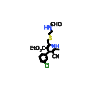 CCOC(=O)C1=C(CSCCNC=O)NC(C)=C(C#N)C1c1cccc(Cl)c1